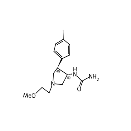 COCCN1C[C@@H](NC(N)=O)[C@H](c2ccc(C)cc2)C1